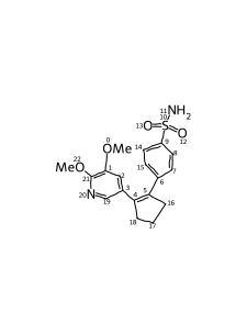 COc1cc(C2=C(c3ccc(S(N)(=O)=O)cc3)CCC2)cnc1OC